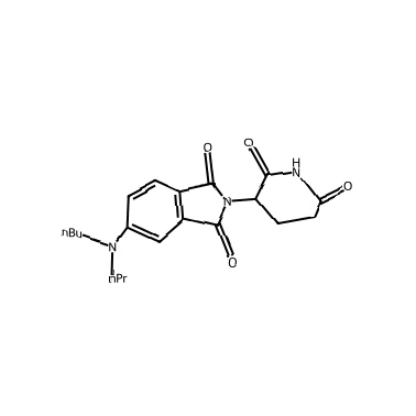 CCCCN(CCC)c1ccc2c(c1)C(=O)N(C1CCC(=O)NC1=O)C2=O